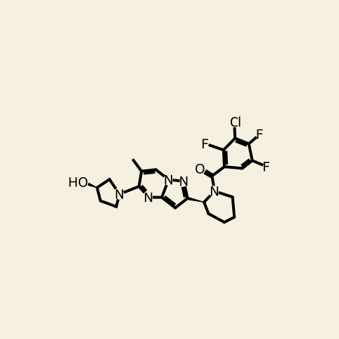 Cc1cn2nc([C@@H]3CCCCN3C(=O)c3cc(F)c(F)c(Cl)c3F)cc2nc1N1CC[C@@H](O)C1